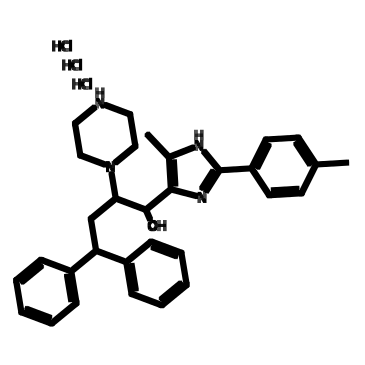 Cc1ccc(-c2nc(C(O)C(CC(c3ccccc3)c3ccccc3)N3CCNCC3)c(C)[nH]2)cc1.Cl.Cl.Cl